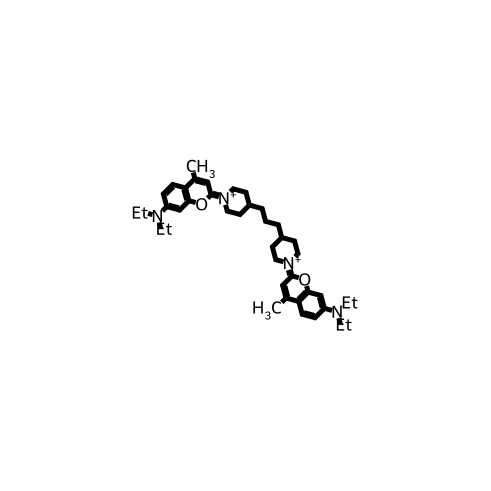 CCN(CC)c1ccc2c(C)cc(=[N+]3CCC(CCCC4CC[N+](=c5cc(C)c6ccc(N(CC)CC)cc6o5)CC4)CC3)oc2c1